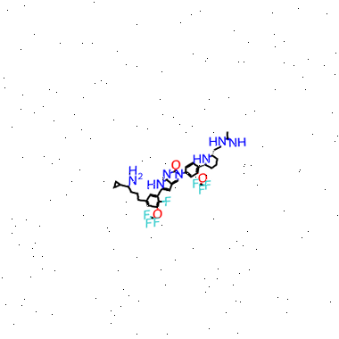 CC(=N)NCC[C@@H]1CCC[C@@H](c2ccc(-n3cc4cc(-c5cc(CCC[C@@H](N)C6CC6)cc(OC(F)(F)F)c5F)[nH]c4nc3=O)cc2OC(F)(F)F)N1